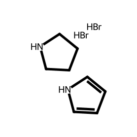 Br.Br.C1CCNC1.c1cc[nH]c1